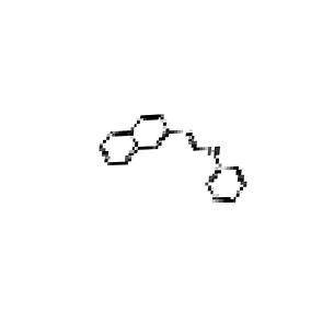 C(=Cc1ccc2ccccc2c1)Nc1ccccc1